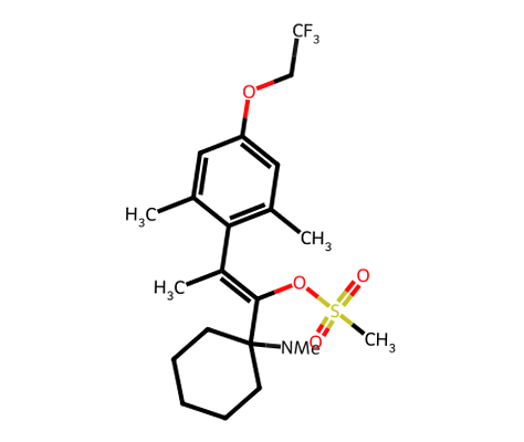 CNC1(/C(OS(C)(=O)=O)=C(\C)c2c(C)cc(OCC(F)(F)F)cc2C)CCCCC1